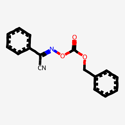 N#C/C(=N\OC(=O)OCc1ccccc1)c1ccccc1